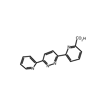 O=C(O)c1cccc(-c2ccc(-c3ccccn3)nn2)n1